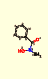 BN(O)C(=O)c1ccccc1